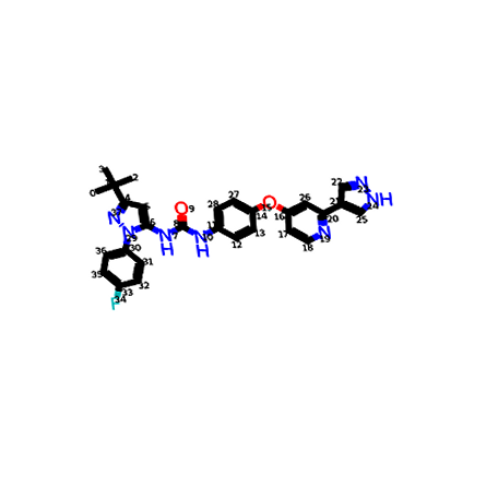 CC(C)(C)c1cc(NC(=O)Nc2ccc(Oc3ccnc(-c4cn[nH]c4)c3)cc2)n(-c2ccc(F)cc2)n1